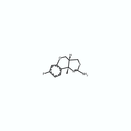 C[C@]12N=C(N)SC[C@H]1COc1cc(F)ccc12